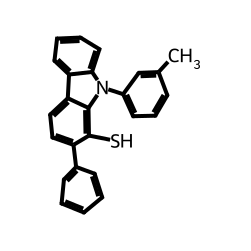 Cc1cccc(-n2c3ccccc3c3ccc(-c4ccccc4)c(S)c32)c1